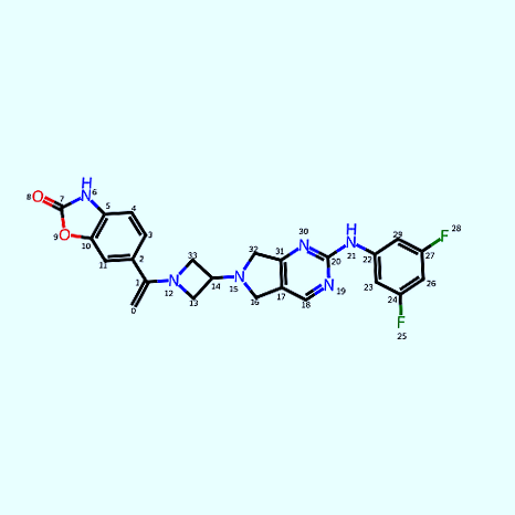 C=C(c1ccc2[nH]c(=O)oc2c1)N1CC(N2Cc3cnc(Nc4cc(F)cc(F)c4)nc3C2)C1